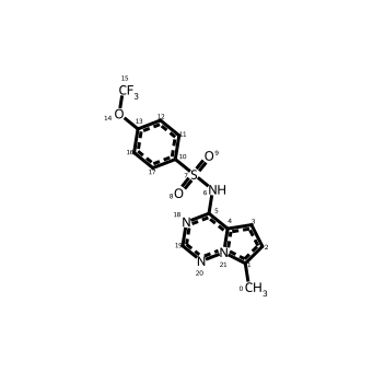 Cc1ccc2c(NS(=O)(=O)c3ccc(OC(F)(F)F)cc3)ncnn12